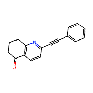 O=C1CCCc2nc(C#Cc3ccccc3)ccc21